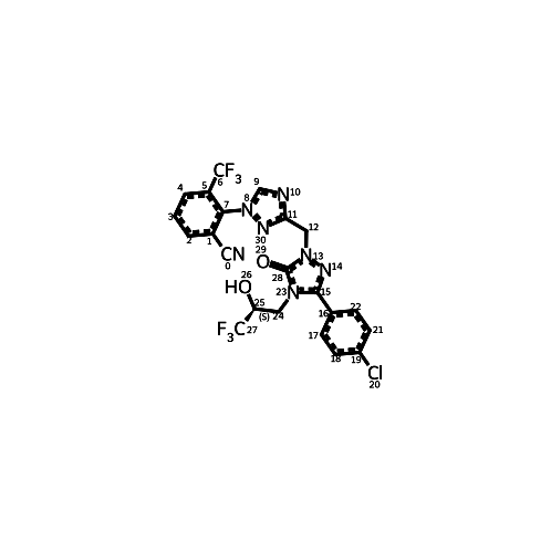 N#Cc1cccc(C(F)(F)F)c1-n1cnc(Cn2nc(-c3ccc(Cl)cc3)n(C[C@H](O)C(F)(F)F)c2=O)n1